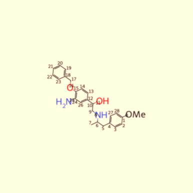 COc1ccc(CC(C)NCC(O)c2ccc(OCc3ccccc3)c(N)c2)cc1